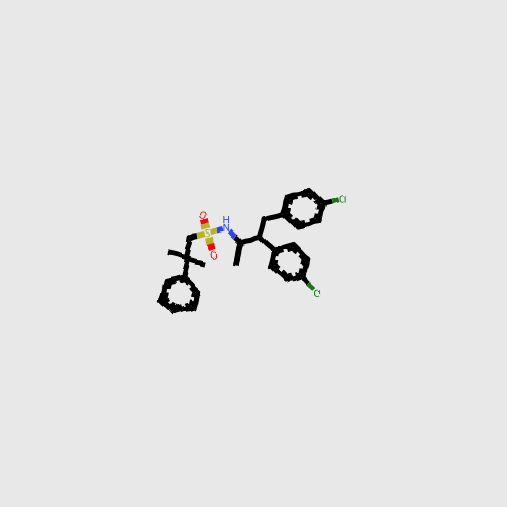 CC(NS(=O)(=O)CC(C)(C)c1ccccc1)C(Cc1ccc(Cl)cc1)c1ccc(Cl)cc1